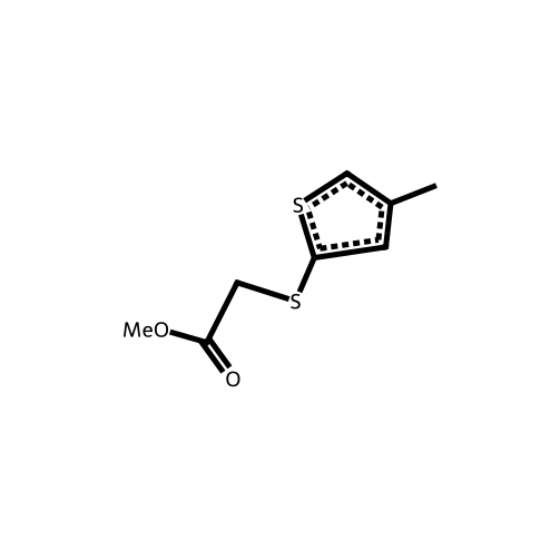 COC(=O)CSc1cc(C)cs1